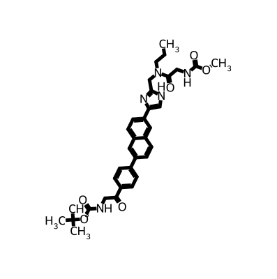 CCCN(Cc1nc(-c2ccc3cc(-c4ccc(C(=O)CNC(=O)OC(C)(C)C)cc4)ccc3c2)c[nH]1)C(=O)CNC(=O)OC